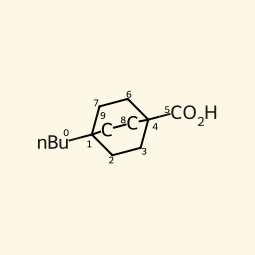 CCCCC12CCC(C(=O)O)(CC1)CC2